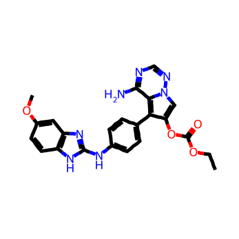 CCOC(=O)Oc1cn2ncnc(N)c2c1-c1ccc(Nc2nc3cc(OC)ccc3[nH]2)cc1